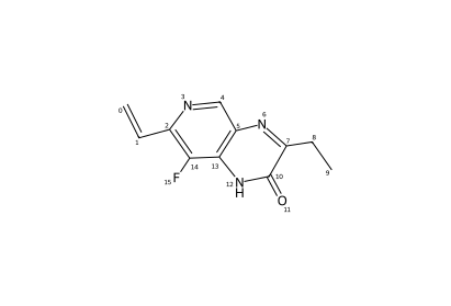 C=Cc1ncc2nc(CC)c(=O)[nH]c2c1F